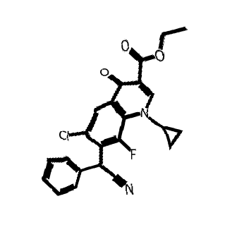 CCOC(=O)c1cn(C2CC2)c2c(F)c(C(C#N)c3ccccc3)c(Cl)cc2c1=O